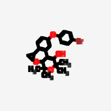 CC1(C)OC(C)(C)C(O)=C(c2cc(Oc3ccc(Br)cc3)ccc2C2CC2)C1=O